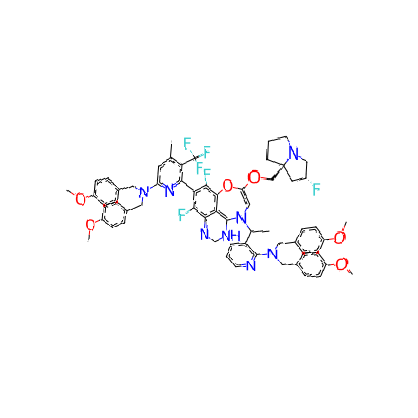 COc1ccc(CN(Cc2ccc(OC)cc2)c2cc(C)c(C(F)(F)F)c(-c3c(F)c4c5c(c3F)=NCNC=5N(C(C)c3cccnc3N(Cc3ccc(OC)cc3)Cc3ccc(OC)cc3)C=C(OC[C@@]35CCCN3C[C@H](F)C5)O4)n2)cc1